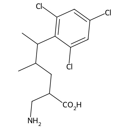 CC(CC(CN)C(=O)O)C(C)c1c(Cl)cc(Cl)cc1Cl